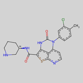 Cc1ccc(N2C(=O)Nc3c(C(=O)N[C@@H]4CCCNC4)sc4nccc2c34)cc1Cl